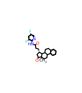 C[C@]12CCC3c4ccccc4CCC3C1[C@H](CCC(=O)Nc1ncc(F)cc1F)CC2=O